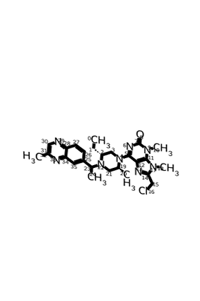 CC[C@@H]1CN(c2nc(=O)n(C)c3c2nc(CCl)n3C)[C@@H](C)CN1C(C)c1ccc2ncc(C)nc2c1